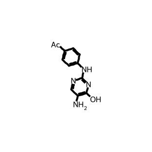 CC(=O)c1ccc(Nc2ncc(N)c(O)n2)cc1